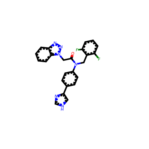 O=C(Cn1nnc2ccccc21)N(Cc1c(F)cccc1F)c1ccc(-c2c[nH]cn2)cc1